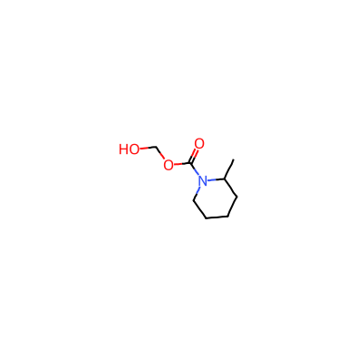 CC1CCCCN1C(=O)OCO